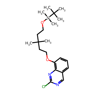 CC(C)(CCOc1cccc2cnc(Cl)nc12)CCO[Si](C)(C)C(C)(C)C